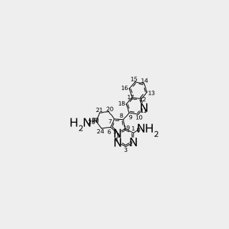 Nc1ncnn2c3c(c(-c4cnc5ccccc5c4)c12)CC[C@@H](N)C3